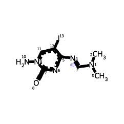 CN(C)/C=N/c1nc(=O)n(N)cc1I